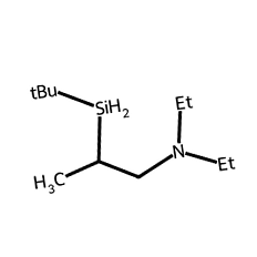 CCN(CC)CC(C)[SiH2]C(C)(C)C